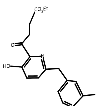 CCOC(=O)CCC(=O)c1nc(Cc2cccc(C)c2)ccc1O